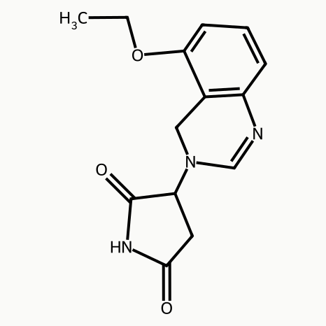 CCOc1cccc2c1CN(C1CC(=O)NC1=O)C=N2